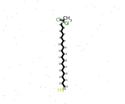 C[Si](Cl)(Cl)CCCCCCCCCCCCCCCCCCCCS